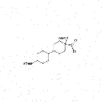 CCCCCCCC1([S+]([O-])CC)CCC(C2CCC(CCCCC)CC2)CC1